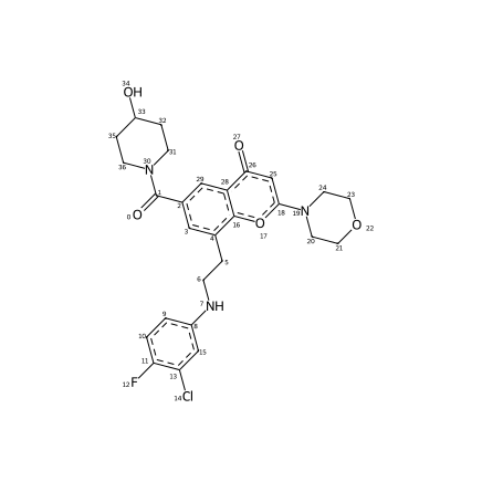 O=C(c1cc(CCNc2ccc(F)c(Cl)c2)c2oc(N3CCOCC3)cc(=O)c2c1)N1CCC(O)CC1